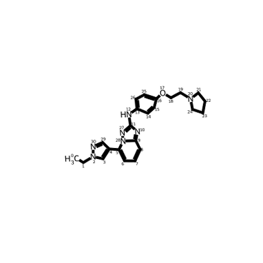 CCn1cc(-c2cccc3nc(Nc4ccc(OCCN5CCCC5)cc4)nn23)cn1